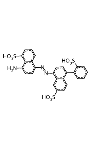 Nc1ccc(N=Nc2ccc(-c3ccccc3S(=O)(=O)O)c3ccc(S(=O)(=O)O)cc23)c2cccc(S(=O)(=O)O)c12